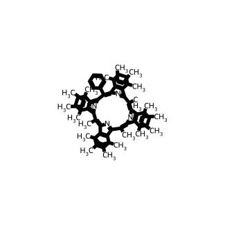 CC1=C(C)C2(C)CCC1(C)C1=C2c2nc1c(C)c1[nH]c(c(C)c3nc(c(-c4ccccc4)c4[nH]c(c2C)c2c4C4(C)CCC2(C)C(C)=C4C)C2=C3C3(C)CCC2(C)C(C)=C3C)c2c1C1(C)CCC2(C)C(C)=C1C